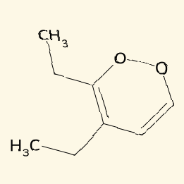 CCC1=C(CC)OOC=C1